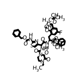 CCN1CCN(C(=O)NC(C(=O)NC(Cc2cc(F)cc(C(=O)OC(C)(C)C)c2OC)B2OC3CC4CC(C4(C)C)[C@]3(C)O2)c2csc(NC(=O)OCc3ccccc3)n2)C(=O)C1=O